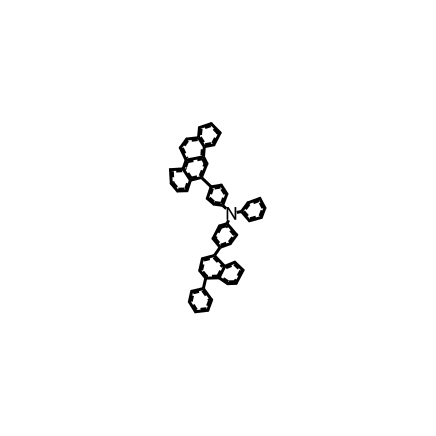 c1ccc(-c2ccc(-c3ccc(N(c4ccccc4)c4ccc(-c5cc6c7ccccc7ccc6c6ccccc56)cc4)cc3)c3ccccc23)cc1